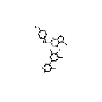 Cc1cc(F)ncc1-c1cc(C)c(Oc2nc(Nc3ccc(C#N)cc3)nc3ccn(C)c23)c(C)c1